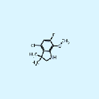 COc1c(F)cc(Cl)c2c1NCC2(C)C